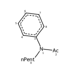 CCCCCN(C(C)=O)c1cc[c]cc1